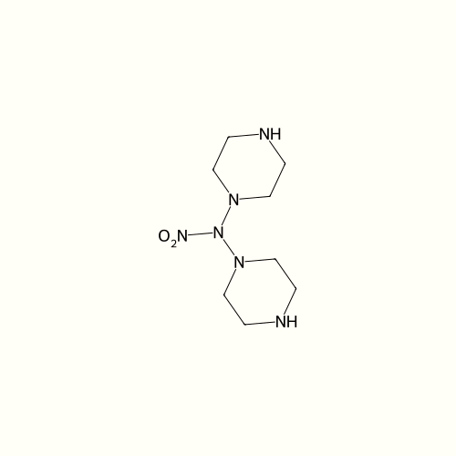 O=[N+]([O-])N(N1CCNCC1)N1CCNCC1